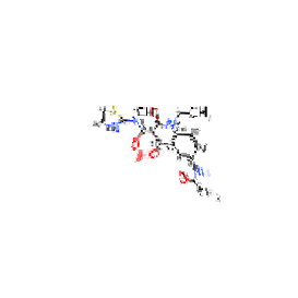 CCn1c(=O)c(C(=O)N(C)c2nccs2)c(O)c2cc(NC(C)=O)ccc21